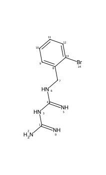 N=C(N)NC(=N)NCc1ccccc1Br